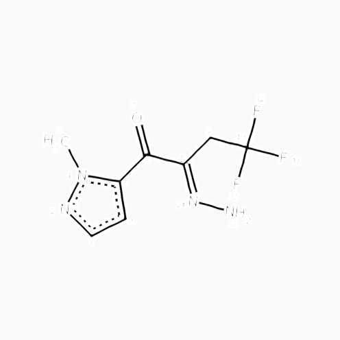 Cn1nccc1C(=O)C(CC(F)(F)F)=NN